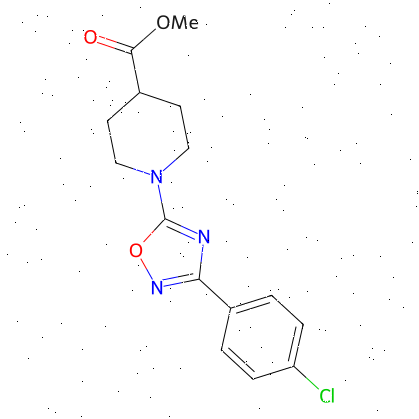 COC(=O)C1CCN(c2nc(-c3ccc(Cl)cc3)no2)CC1